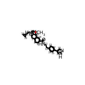 C[C@H]1C2Cc3ccc(C(=O)NCCc4ccc(-c5cn[nH]c5)cc4)cc3[C@@]1(C)CCN2CC1CC1